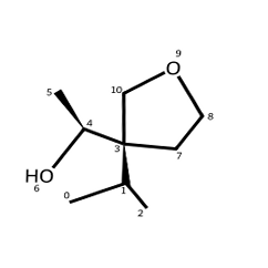 CC(C)[C@]1([C@H](C)O)CCOC1